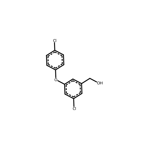 OCc1cc(Cl)cc(Oc2ccc(Cl)cc2)c1